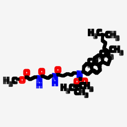 CCOC(=O)CCNC(=O)CCNC(=O)CCCCN(C(=O)OC(C)(C)C)C1CC[C@@]2(C)C(=CCC3C2CC[C@@]2(C)C3CC[C@@H]2C(C)CCCC(C)C)C1